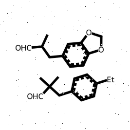 CC(C=O)Cc1ccc2c(c1)OCO2.CCc1ccc(CC(C)(C)C=O)cc1